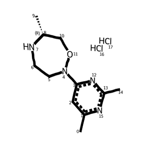 Cc1cc(N2CCN[C@H](C)CO2)nc(C)n1.Cl.Cl